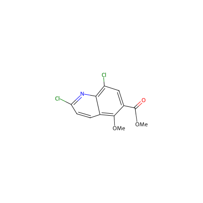 COC(=O)c1cc(Cl)c2nc(Cl)ccc2c1OC